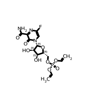 C=COP(=O)(OC=C)OC[C@H]1O[C@@H](n2cc(F)nc(C(N)=O)c2=O)[C@H](O)[C@@H]1O